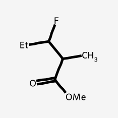 CCC(F)C(C)C(=O)OC